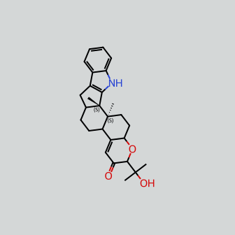 CC(C)(O)C1OC2CC[C@@]3(C)C(CCC4Cc5c([nH]c6ccccc56)[C@@]43C)C2=CC1=O